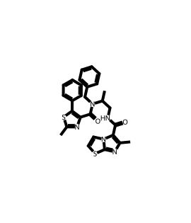 Cc1nc(C(=O)N(Cc2ccccc2)C(C)CNC(=O)c2c(C)nc3sccn23)c(-c2ccccc2)s1